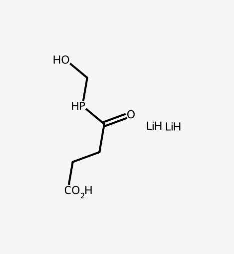 O=C(O)CCC(=O)PCO.[LiH].[LiH]